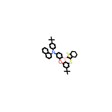 CC(C)(C)c1ccc(N(c2ccc3c(c2)Oc2cc(C(C)(C)C)cc4c2B3c2sc3c(c2S4)CCCC3)c2cccc3ccccc23)cc1